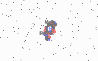 CCn1c(-c2cccnc2[C@H](C)OC)c2c3cc(ccc31)-c1csc(n1)C[C@H](NC(=O)C(C(C)C)N(C)C(=O)N1CC3(CCCN(C)C3=O)C1)C(=O)N1CCC[C@H](N1)C(=O)OCC(C)(C)C2